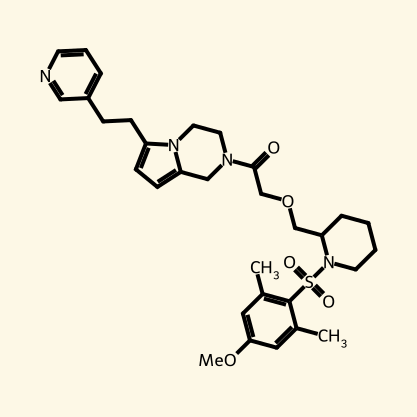 COc1cc(C)c(S(=O)(=O)N2CCCCC2COCC(=O)N2CCn3c(CCc4cccnc4)ccc3C2)c(C)c1